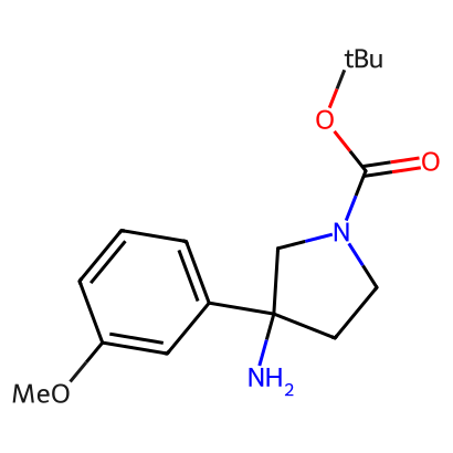 COc1cccc(C2(N)CCN(C(=O)OC(C)(C)C)C2)c1